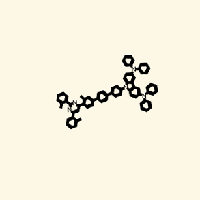 Cc1ccccc1-c1cc(-c2ccc(-c3ccc(-c4ccc(-n5c6ccc(N(c7ccccc7)c7ccccc7)cc6c6cc(N(c7ccccc7)c7ccccc7)ccc65)cc4)cc3)cc2C)nc(-c2ccccc2C)n1